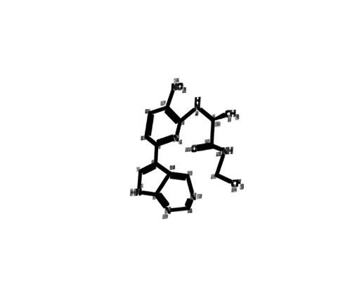 C[C@H](Nc1nc(-c2c[nH]c3ncncc23)ccc1[N+](=O)[O-])C(=O)NCC(F)(F)F